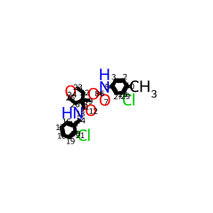 Cc1ccc(NC(=O)OCC2(C(=O)NCc3ccccc3Cl)CCOCC2)cc1Cl